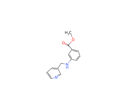 COC(=O)c1cccc(NCc2cccnc2)c1